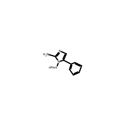 CCCCCn1c(-c2ccccc2)cnc1N